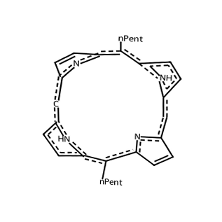 CCCCCc1c2nc(cc3ccc([nH]3)c(CCCCC)c3nc(cc4ccc1[nH]4)C=C3)C=C2